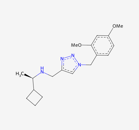 COc1ccc(Cn2cc(CN[C@H](C)C3CCC3)nn2)c(OC)c1